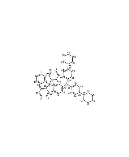 c1ccc(C2(c3ccccc3)c3ccccc3-c3ccc(N(c4ccc(C5CCCCC5)cc4)c4ccc(C5CCCCC5)cc4)cc32)cc1